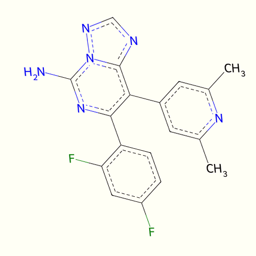 Cc1cc(-c2c(-c3ccc(F)cc3F)nc(N)n3ncnc23)cc(C)n1